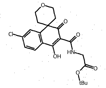 CC(C)(C)OC(=O)CNC(=O)C1=C(O)c2ccc(Cl)cc2C2(CCOCC2)C1=O